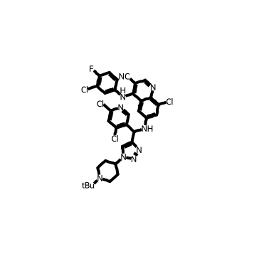 CC(C)(C)N1CCC(n2cc(C(Nc3cc(Cl)c4ncc(C#N)c(Nc5ccc(F)c(Cl)c5)c4c3)c3cnc(Cl)cc3Cl)nn2)CC1